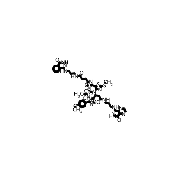 COc1ccc(-c2noc(C(CC(=O)NCCCNc3n[nH]c(=O)c4nccnc34)N(C(=O)OC(C)(C)C)c3nc(SC)sc3-c3noc(CCC(=O)NCCCNc4n[nH]c(=O)c5ccccc45)n3)n2)cc1